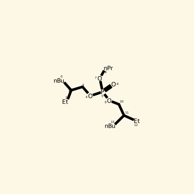 CCCCC(CC)COP(=O)(OCCC)OCC(CC)CCCC